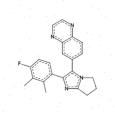 Cc1c(F)ccc(-c2nc3n(c2-c2ccc4nccnc4c2)CCC3)c1C